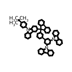 CC(C)(C)c1ccc(-n2c3ccccc3c3cc(C4(c5cccc(-c6cc(-n7c8ccccc8c8ccccc87)cc(-n7c8ccccc8c8ccccc87)c6)c5)c5ccccc5-c5ccccc54)ccc32)cc1